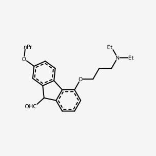 CCCOc1ccc2c(c1)C(C=O)c1cccc(OCCCN(CC)CC)c1-2